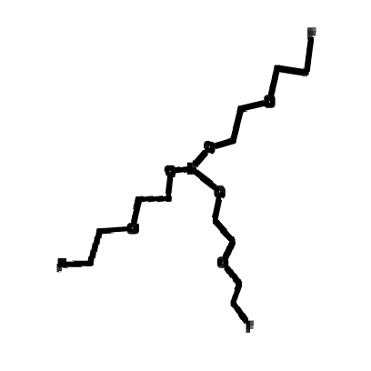 FCCOCCOB(OCCOCCF)OCCOCCF